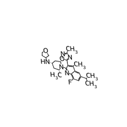 Cc1noc(-c2c(N3CC[C@@H](N[C@H]4CCOC4)C[C@H]3C)nc3c(F)cc(C(C)C)cc3c2C)n1